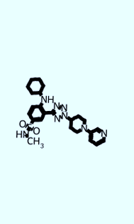 CNS(=O)(=O)c1ccc(NC2CCCCC2)c(-c2nnn(C3CCN(c4cccnc4)CC3)n2)c1